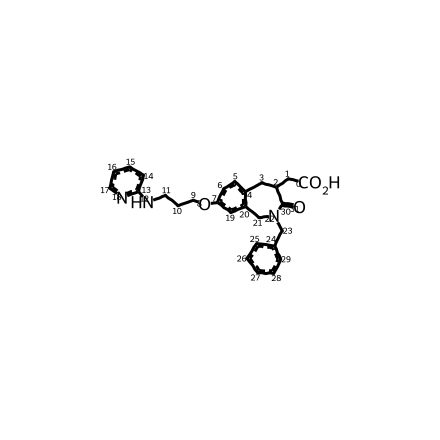 O=C(O)CC1Cc2ccc(OCCCNc3ccccn3)cc2CN(Cc2ccccc2)C1=O